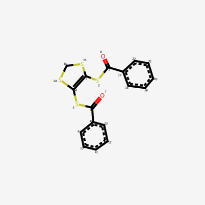 O=C(SC1=C(SC(=O)c2ccccc2)SCS1)c1ccccc1